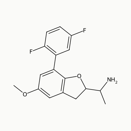 COc1cc2c(c(-c3cc(F)ccc3F)c1)OC(C(C)N)C2